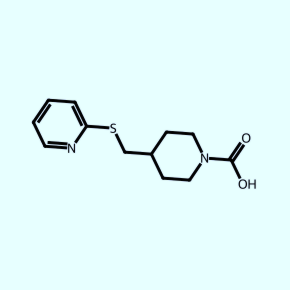 O=C(O)N1CCC(CSc2ccccn2)CC1